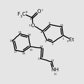 CCc1ccc(OC(=O)C(F)(F)F)cc1.N=C/C=C/c1ccccc1